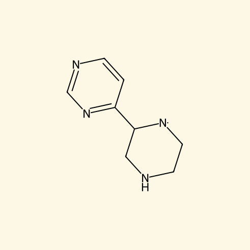 c1cc(C2CNCC[N]2)ncn1